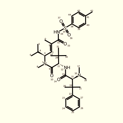 C/C(=C\[C@H](C(C)C)N(C)C(=O)[C@@H](NC(=O)[C@@H](N(C)C)C(C)(C)c1ccccc1)C(C)(C)C)C(=O)NS(=O)(=O)c1ccc(C)cc1